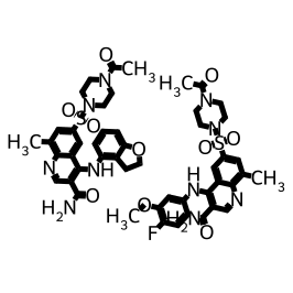 CC(=O)N1CCN(S(=O)(=O)c2cc(C)c3ncc(C(N)=O)c(Nc4cccc5c4CCO5)c3c2)CC1.COc1cc(Nc2c(C(N)=O)cnc3c(C)cc(S(=O)(=O)N4CCN(C(C)=O)CC4)cc23)ccc1F